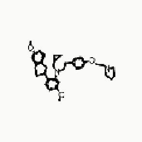 COc1ccc2c(c1)CCC(c1ccc(OC)cc1N(CCc1ccc(OCCN3CCCC3)cc1)CC1CC1)C2